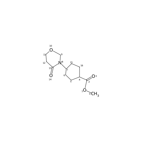 COC(=O)C1CCC(N2COCCC2=O)CC1